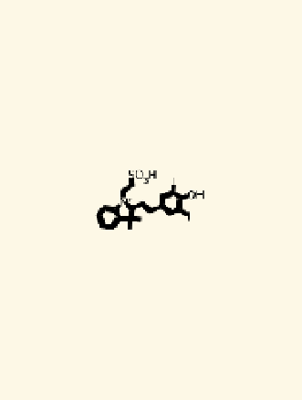 CC1(C)C(C=Cc2cc(I)c(O)c(I)c2)=[N+](CCS(=O)(=O)O)c2ccccc21